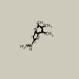 Cc1nc2c(c(C)c1C)N=C(NN)C2